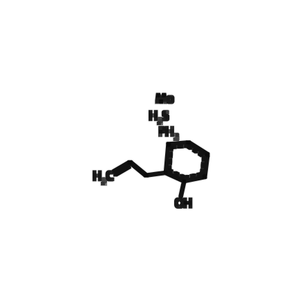 C=CCc1ccccc1O.P.S.[Mo]